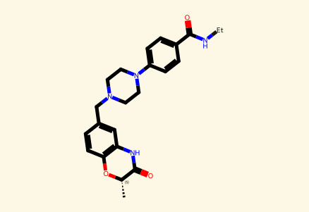 CCNC(=O)c1ccc(N2CCN(Cc3ccc4c(c3)NC(=O)[C@H](C)O4)CC2)cc1